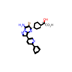 Nc1c(Br)c([C@H]2CC[C@H]([C@H](O)C(=O)O)CC2)nc2c(-c3ccc(-c4ccccc4)nc3)cnn12